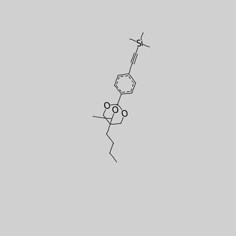 CCCCC12COC(c3ccc(C#C[Si](C)(C)C)cc3)(OC1)OC2C